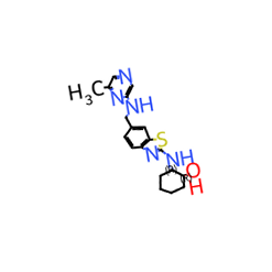 Cc1cncc(NCc2ccc3nc(N[C@@H]4CCCC[C@H]4O)sc3c2)n1